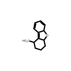 O=C(O)C1CCCC2OC3C=CC=CC3=C21